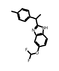 Cc1ccc(C(C)c2nc3cc(OC(F)F)ccc3[nH]2)cc1